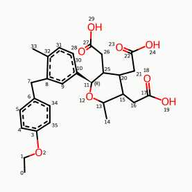 CCOc1ccc(Cc2cc([C@@H]3OC(C)C(CC(=O)O)C(CC(=O)O)C3CC(=O)O)ccc2C)cc1